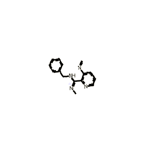 C=Nc1cccnc1/C(=N\C)NCc1ccccc1